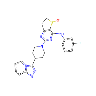 [O-][S+]1CCc2nc(N3CCC(c4nnc5ccccn45)CC3)nc(Nc3cccc(F)c3)c21